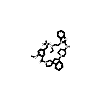 CCOCCn1c(NC2CCN(CCC3(c4ccccc4)CCN(C(=O)c4cc(CS(C)(=O)=O)ccc4OC)C3)CC2)nc2ccccc21